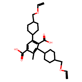 C=COCC1CCC(c2cc(C(=O)O)c(C)c(C3CCC(COC=C)CC3)c2C(=O)O)CC1